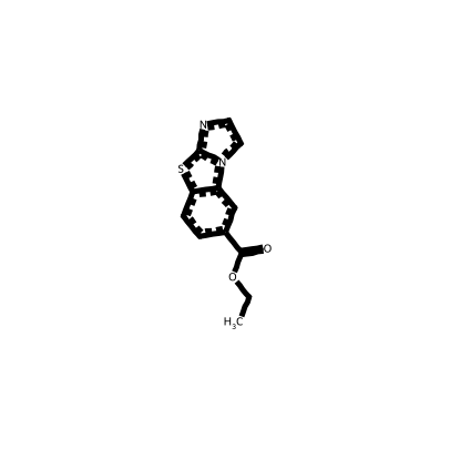 CCOC(=O)c1ccc2sc3nccn3c2c1